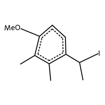 COc1ccc(C(C)I)c(C)c1C